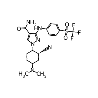 CN(C)[C@H]1CC[C@H](n2cc(C(N)=O)c(Nc3ccc(S(=O)(=O)C(F)(F)F)cc3)n2)[C@@H](C#N)C1